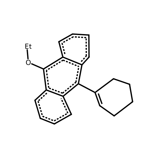 CCOc1c2ccccc2c(C2=CCCCC2)c2ccccc12